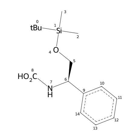 CC(C)(C)[Si](C)(C)OC[C@H](NC(=O)O)c1ccccc1